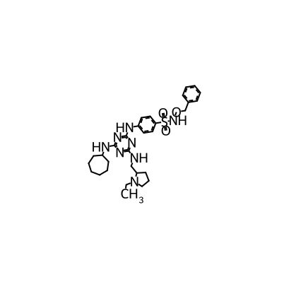 CCN1CCCC1CNc1nc(Nc2ccc(S(=O)(=O)NOCc3ccccc3)cc2)nc(NC2CCCCCC2)n1